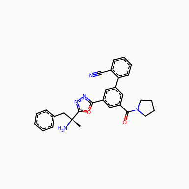 C[C@@](N)(Cc1ccccc1)c1nnc(-c2cc(C(=O)N3CCCC3)cc(-c3ccccc3C#N)c2)o1